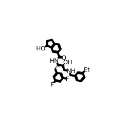 CCc1cccc(CNC[C@@H](O)[C@H](Cc2cc(F)cc(F)c2)NC(=O)c2ccc3c(c2)C(O)CC3)c1